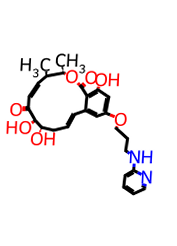 C[C@@H]1/C=C\C(=O)C(O)[C@@H](O)C/C=C/c2cc(OCCCNc3ccccn3)cc(O)c2C(=O)O[C@H]1C